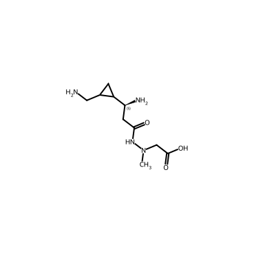 CN(CC(=O)O)NC(=O)C[C@H](N)C1CC1CN